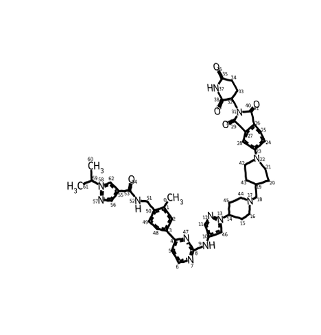 Cc1cc(-c2ccnc(Nc3cnn(C4CCN(CC5CCN(c6ccc7c(c6)C(=O)N(C6CCC(=O)NC6=O)C7=O)CC5)CC4)c3)n2)ccc1CNC(=O)c1cnn(C(C)C)c1